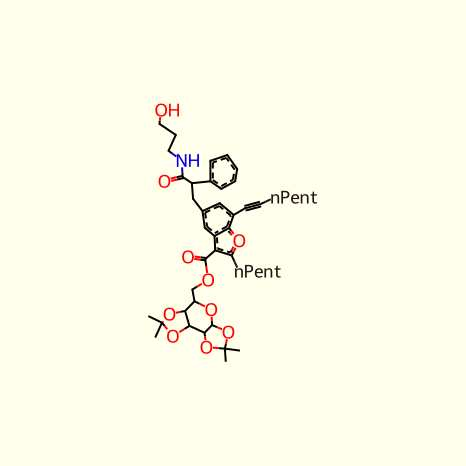 CCCCCC#Cc1cc(CC(C(=O)NCCCO)c2ccccc2)cc2c(C(=O)OCC3OC4OC(C)(C)OC4C4OC(C)(C)OC34)c(CCCCC)oc12